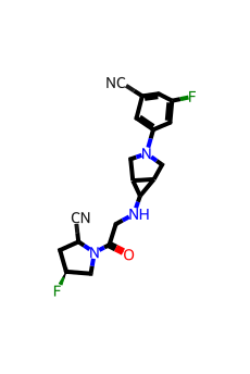 N#Cc1cc(F)cc(N2CC3C(C2)C3NCC(=O)N2C[C@@H](F)CC2C#N)c1